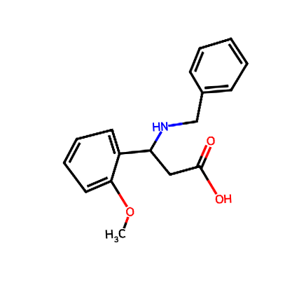 COc1ccccc1C(CC(=O)O)NCc1ccccc1